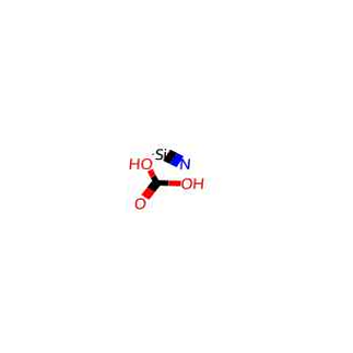 N#[Si].O=C(O)O